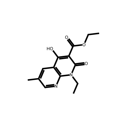 CCOC(=O)c1c(O)c2cc(C)cnc2n(CC)c1=O